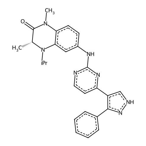 CC(C)N1c2cc(Nc3nccc(-c4c[nH]nc4-c4ccccc4)n3)ccc2N(C)C(=O)[C@H]1C